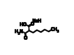 CCCCCCC(C(N)=O)C(=O)O.[NaH]